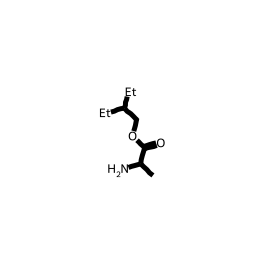 CCC(CC)COC(=O)C(C)N